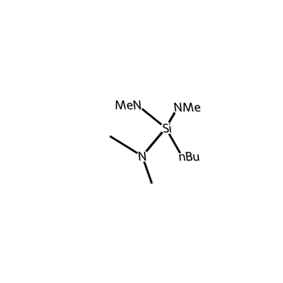 CCCC[Si](NC)(NC)N(C)C